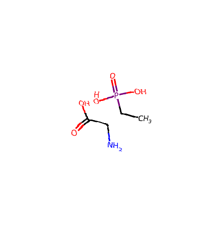 CCP(=O)(O)O.NCC(=O)O